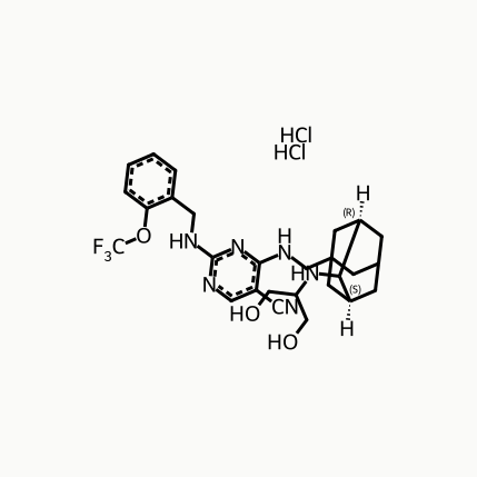 Cl.Cl.N#Cc1cnc(NCc2ccccc2OC(F)(F)F)nc1NCC12CC3C[C@H](C1)C(NC(CO)CO)[C@@H](C3)C2